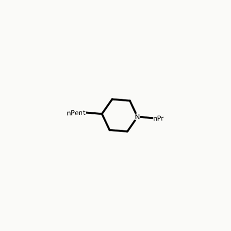 CCCCCC1CCN(CCC)CC1